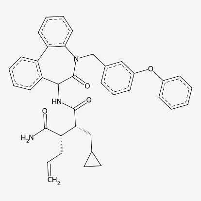 C=CC[C@H](C(N)=O)[C@@H](CC1CC1)C(=O)NC1C(=O)N(Cc2cccc(Oc3ccccc3)c2)c2ccccc2-c2ccccc21